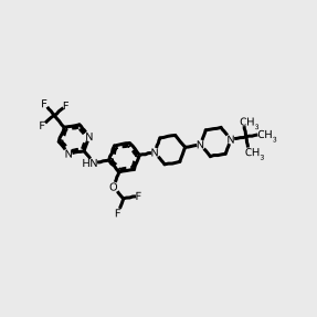 CC(C)(C)N1CCN(C2CCN(c3ccc(Nc4ncc(C(F)(F)F)cn4)c(OC(F)F)c3)CC2)CC1